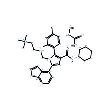 Cc1ccc(-c2c(C(=O)N[C@H]3CCCC[C@H]3NC(=O)OC(C)(C)C)cc(-c3ccnc4[nH]ccc34)n2COCC[Si](C)(C)C)c(F)c1